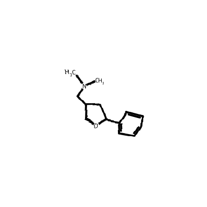 CN(C)CC1COC(c2ccccc2)C1